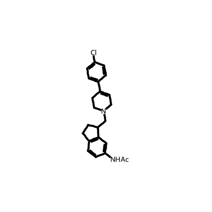 CC(=O)Nc1ccc2c(c1)C(CN1CC=C(c3ccc(Cl)cc3)CC1)CC2